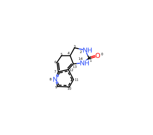 O=C1NCC2CC=c3ncccc3=C2N1